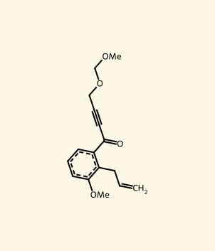 C=CCc1c(OC)cccc1C(=O)C#CCOCOC